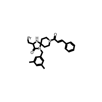 Cc1cc(C)cc(CN2C(=O)C(CC(C)C)NC23CCN(C(=O)/C=C/c2ccccc2)CC3)c1